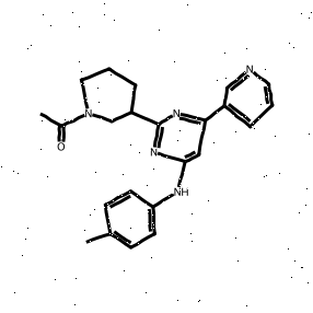 CC(=O)N1CCCC(c2nc(Nc3ccc(C)cc3)cc(-c3cccnc3)n2)C1